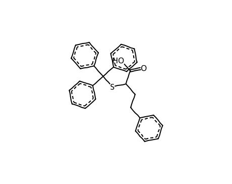 O=C(O)C(CCc1ccccc1)SC(c1ccccc1)(c1ccccc1)c1ccccc1